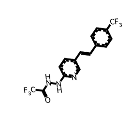 O=C(NNc1ccc(/C=C/c2ccc(C(F)(F)F)cc2)cn1)C(F)(F)F